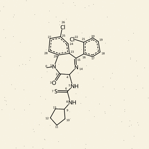 CN1C(=O)C(NC(=S)NC2CCCC2)N=C(c2ccccc2Cl)c2cc(Cl)ccc21